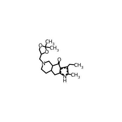 CCc1c(C)[nH]c2c1C(=O)C1CN(CC3COC(C)(C)O3)CCC1C2